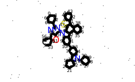 c1ccc(-c2nc(-n3c4ccc(-c5ccc6c(c5)c5ccccc5n6-c5ccccc5)cc4c4c5ccccc5c5c6ccccc6sc5c43)c3oc4ccccc4c3n2)cc1